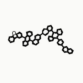 C1=CC(c2ccc3c(-c4c5ccccc5c(-c5ccc6oc7ccccc7c6c5)c5ccccc45)cccc3c2)C=Cc2c1cccc2-c1c2ccccc2c(-c2ccc(-c3ccc4ccccc4c3)cc2)c2ccccc12